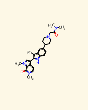 CC(C)c1c(-c2cn(C)c3c(=O)n(C)ccc23)[nH]c2ccc(C3CCN(CC(=O)N(C)C)CC3)cc12